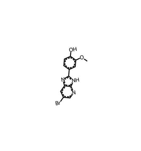 COc1cc(-c2nc3cc(Br)cnc3[nH]2)ccc1O